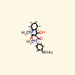 CC(=O)Nc1ccc(N(C)C(=O)c2c(O)c3ccccc3n(C)c2=O)cc1